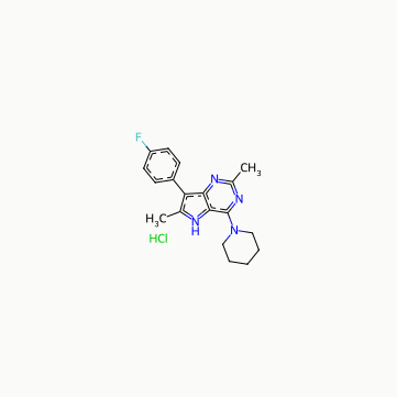 Cc1nc(N2CCCCC2)c2[nH]c(C)c(-c3ccc(F)cc3)c2n1.Cl